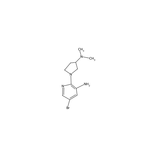 CN(C)C1CCN(c2ncc(Br)cc2N)C1